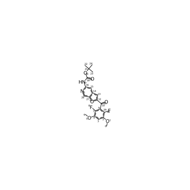 COc1cc(OC)c(F)c(C(=O)c2cc3cc(NC(=O)OC(C)(C)C)ncc3o2)c1F